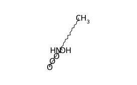 CCCCCCCCCCCCCCCCCC(O)NCCOCCOCC=O